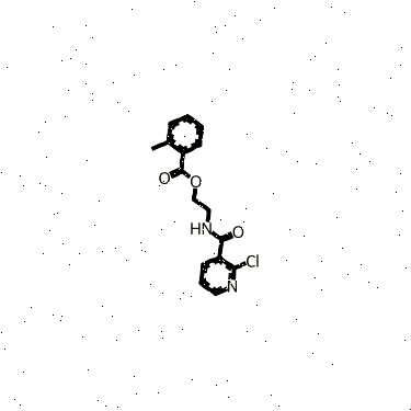 Cc1ccccc1C(=O)OCCNC(=O)c1cccnc1Cl